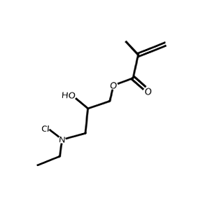 C=C(C)C(=O)OCC(O)CN(Cl)CC